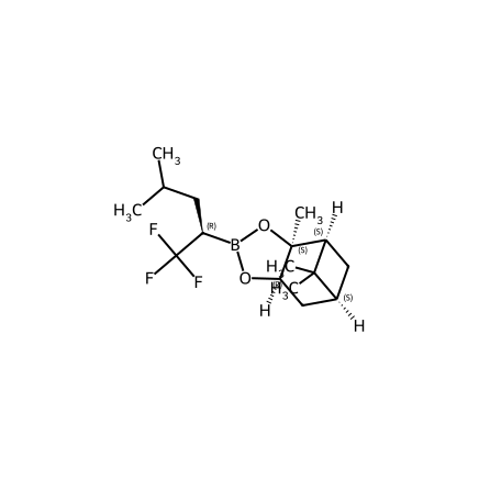 CC(C)C[C@@H](B1O[C@@H]2C[C@@H]3C[C@@H](C3(C)C)[C@]2(C)O1)C(F)(F)F